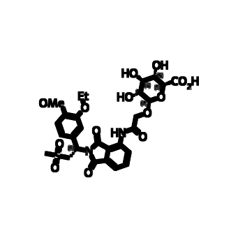 CCOc1cc([C@@H](CS(C)(=O)=O)N2C(=O)c3cccc(NC(=O)CO[C@@H]4O[C@H](C(=O)O)[C@@H](O)[C@H](O)[C@H]4O)c3C2=O)ccc1OC